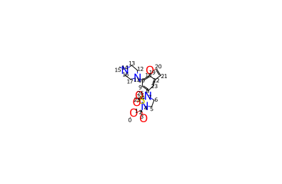 COC(=O)N1CCN(c2cc(N3CCN(C)CC3)c3occc3c2)S1(=O)=O